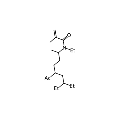 C=C(C)C(=O)N(CC)C(C)CCC(CC(CC)CC)C(C)=O